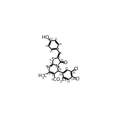 CCOC(=O)C1=C(C)N=c2s/c(=C\c3ccc(O)cc3)c(=O)n2C1c1ccc(Cl)c(Cl)c1